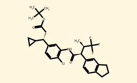 C[C@H]([C@H](C(=O)Nc1cc([C@@H](CC(=O)OC(C)(C)C)C2CC2)ccc1Cl)c1ccc2c(c1)CCC2)C(F)(F)F